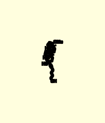 CO[C@H]1CC[C@H]2[C@@H]3CC[C@@H]4C[C@@](O)(C#CCCCCO)CC[C@]4(C)[C@H]3CC[C@]12C